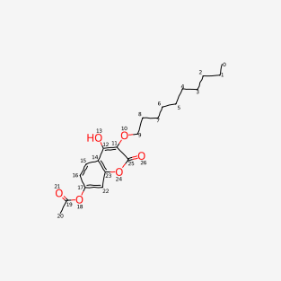 CCCCCCCCCCOc1c(O)c2ccc(OC(C)=O)cc2oc1=O